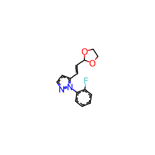 Fc1ccccc1-n1nccc1C=CC1OCCO1